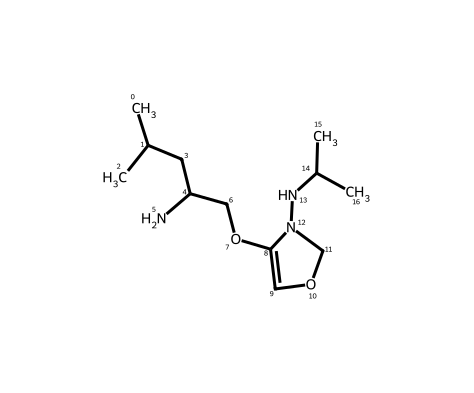 CC(C)CC(N)COC1=COCN1NC(C)C